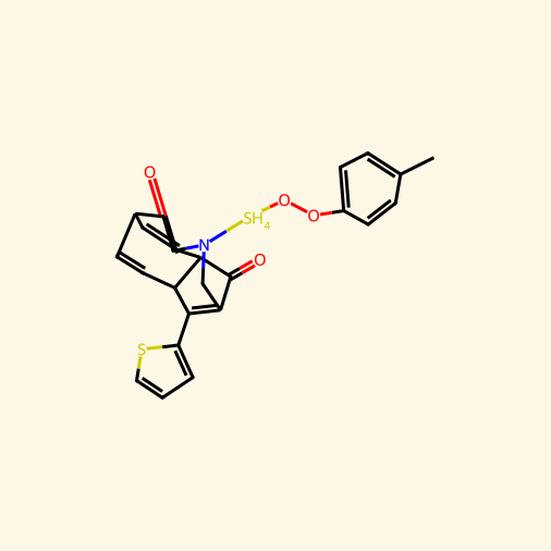 Cc1ccc(OO[SH4]N2CC(=O)C3C=CC4C(=O)C(=C(c5cccs5)C4C=C3)C2)cc1